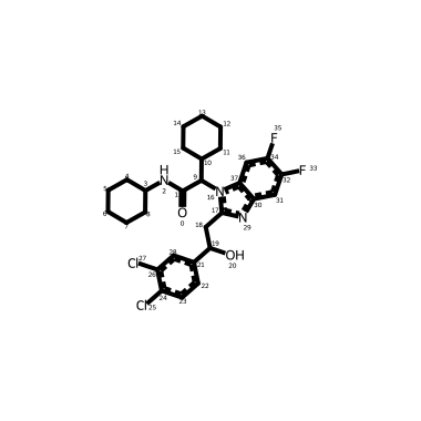 O=C(NC1CCCCC1)C(C1CCCCC1)n1c(CC(O)c2ccc(Cl)c(Cl)c2)nc2cc(F)c(F)cc21